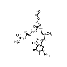 CC(C)OC(=O)OCOP(=O)(COC(C)CN1CNc2c1nc(N)[nH]c2=O)OCOC=O